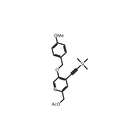 COc1ccc(COc2cnc(COC(C)=O)cc2C#C[Si](C)(C)C)cc1